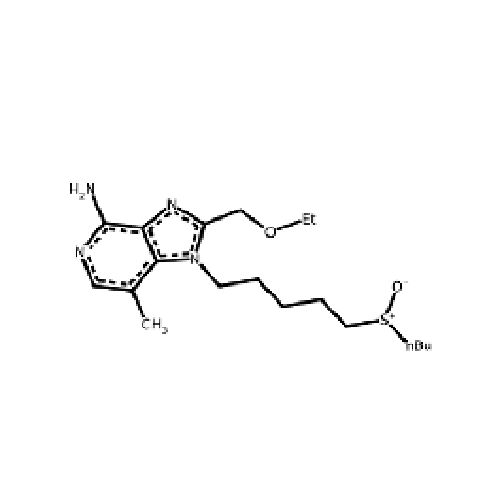 CCCC[S+]([O-])CCCCCn1c(COCC)nc2c(N)ncc(C)c21